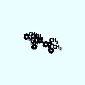 C=Cc1c(C)c2cc(-c3ccc4c(c3)-n3c(nc5ccccc53)N(C(=C)/N=C3/C=CC=CC3=C)C4=C)ccc2n1-c1ccccc1